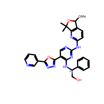 COC1OC(C)(C)c2nc(Nc3ncc(-c4nnc(-c5cccnc5)o4)c(N[C@H](CO)c4ccccc4)n3)ccc21